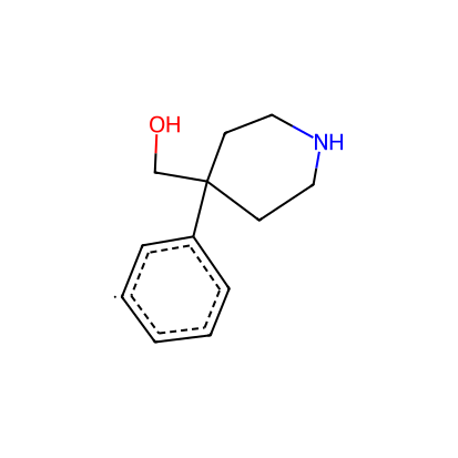 OCC1(c2c[c]ccc2)CCNCC1